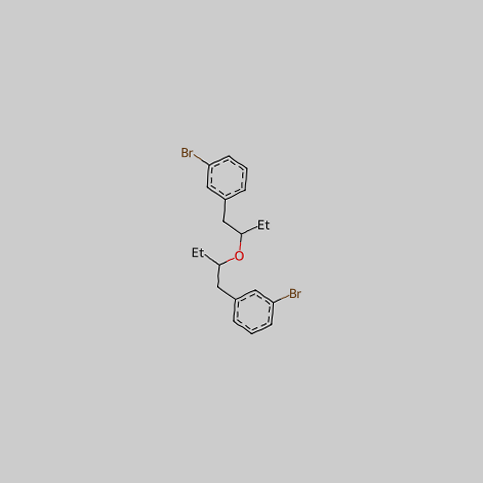 CCC(Cc1cccc(Br)c1)OC(CC)Cc1cccc(Br)c1